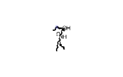 CC/C=C\CCC(C)(O)CCC(=O)NCCCN(CCCC)CCCC